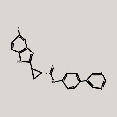 O=C(Nc1ccc(-c2cncnc2)cc1)[C@@H]1C[C@H]1c1nc2cc(F)ccc2[nH]1